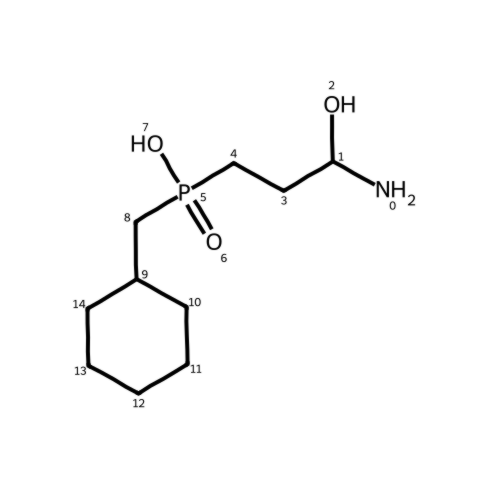 NC(O)CCP(=O)(O)CC1CCCCC1